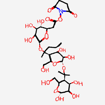 CCCC(C)(O[C@@H]1OC(CC(=O)ON2C(=O)CCC2=O)[C@@H](O)C(O)C1O)[C@@H]1C(CO)O[C@@H](OC(C)(C)[C@@H]2C(CO)O[C@@H](O)C(O)C2O)C(O)C1O